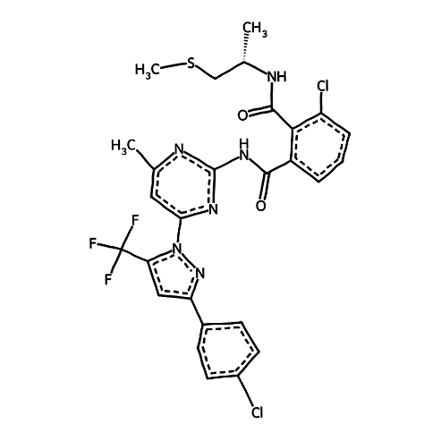 CSC[C@H](C)NC(=O)c1c(Cl)cccc1C(=O)Nc1nc(C)cc(-n2nc(-c3ccc(Cl)cc3)cc2C(F)(F)F)n1